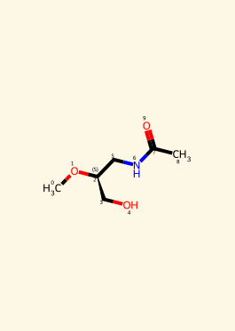 CO[C@H](CO)CNC(C)=O